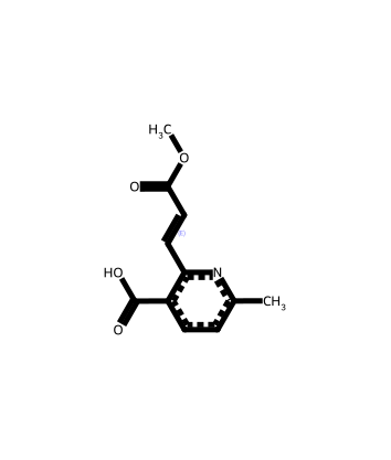 COC(=O)/C=C/c1nc(C)ccc1C(=O)O